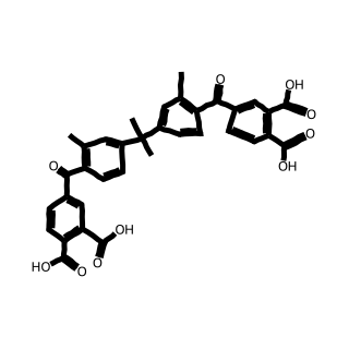 Cc1cc(C(C)(C)c2ccc(C(=O)c3ccc(C(=O)O)c(C(=O)O)c3)c(C)c2)ccc1C(=O)c1ccc(C(=O)O)c(C(=O)O)c1